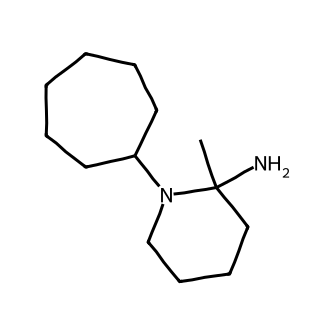 CC1(N)CCCCN1C1CCCCCC1